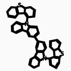 C1=CC2Sc3cccc(-n4c5c(c6cc(-c7ccc8c(c7)c7ccccc7n8C7=C8C9=C(CCC=C9)SC8CC=C7)ccc64)C=CCC5)c3C2C=C1